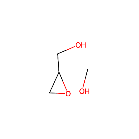 CO.OCC1CO1